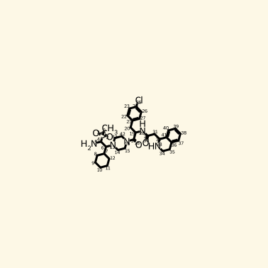 CS(=O)(=O)C(N)C(C1CCCCC1)N1CCN(C(=O)C(Cc2ccc(Cl)cc2)NC(=O)CC2NCCc3ccccc32)CC1